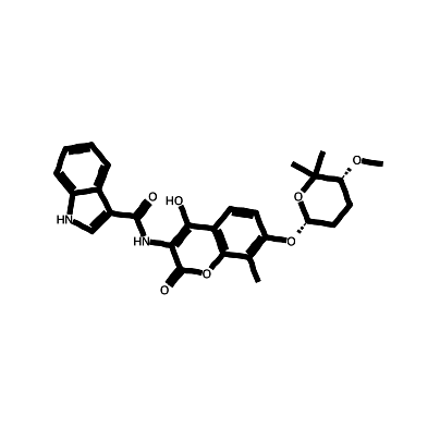 CO[C@@H]1CC[C@H](Oc2ccc3c(O)c(NC(=O)c4c[nH]c5ccccc45)c(=O)oc3c2C)OC1(C)C